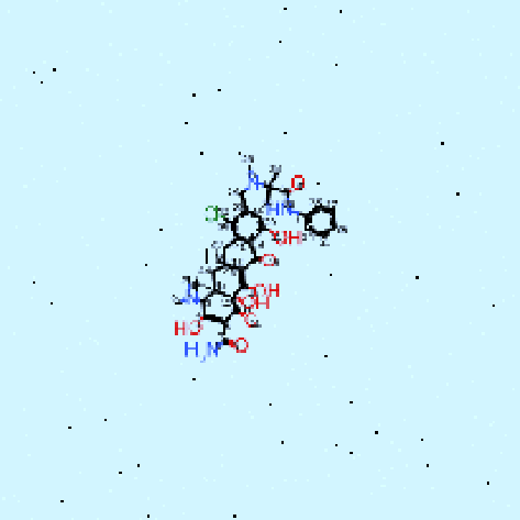 CN(C)[C@@H]1C(O)=C(C(N)=O)C(=O)C2(O)C(O)=C3C(=O)c4c(O)cc(CN(C)C(C)(C)C(=O)Nc5ccccc5)c(Cl)c4C[C@H]3C[C@@H]12